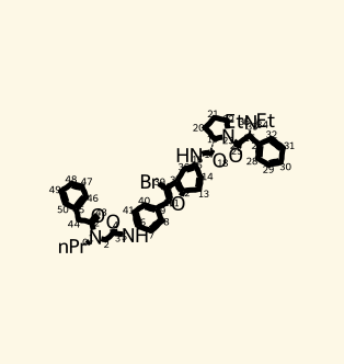 CCCN(CC(=O)Nc1ccc(-c2oc3ccc(NC(=O)[C@@H]4CCCN4C(=O)[C@@H](c4ccccc4)N(CC)CC)cc3c2Br)cc1)C(=O)Cc1ccccc1